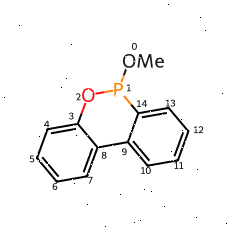 [CH2]OP1Oc2ccccc2-c2ccccc21